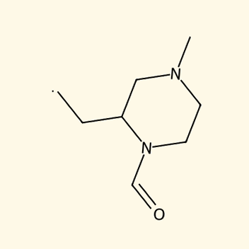 [CH2]CC1CN(C)CCN1C=O